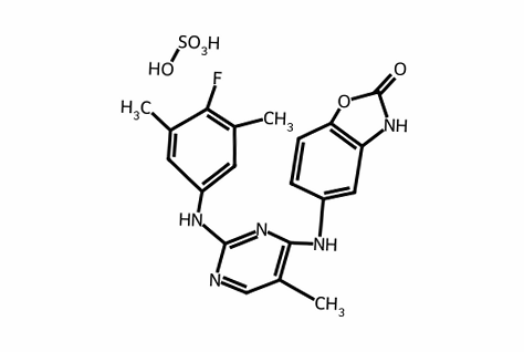 Cc1cnc(Nc2cc(C)c(F)c(C)c2)nc1Nc1ccc2oc(=O)[nH]c2c1.O=S(=O)(O)O